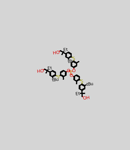 CCC(C)(CO)c1ccc(Sc2ccc(OP(Oc3ccc(Sc4ccc(C(C)(CC)CO)cc4C(C)(C)C)c(C)c3)Oc3ccc(Sc4ccc(C(C)(CC)CO)cc4C(C)(C)C)c(C)c3)cc2C)c(C(C)(C)C)c1